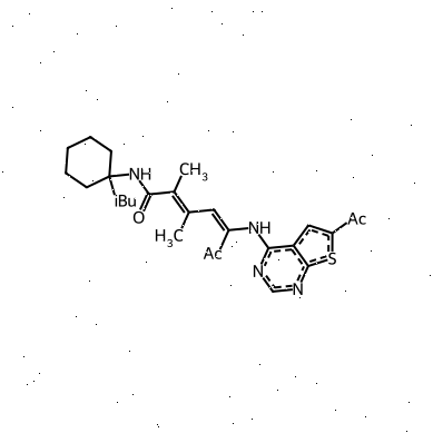 CCC(C)C1(NC(=O)/C(C)=C(C)/C=C(/Nc2ncnc3sc(C(C)=O)cc23)C(C)=O)CCCCC1